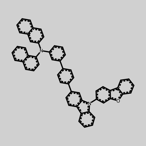 c1cc(-c2ccc(-c3ccc4c5ccccc5n(-c5ccc6c(c5)oc5ccccc56)c4c3)cc2)cc(N(c2ccc3ccccc3c2)c2cccc3ccccc23)c1